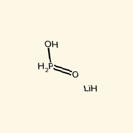 O=[PH2]O.[LiH]